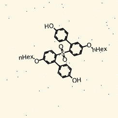 CCCCCCOc1ccc(S(=O)(=O)c2ccc(OCCCCCC)cc2-c2ccc(O)cc2)c(-c2ccc(O)cc2)c1